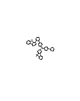 CC1(C)c2ccccc2-c2cc(N(c3ccc(-c4ccccc4)cc3)c3ccc(-c4ccccc4-c4cccc5c4sc4ccccc45)cc3)ccc21